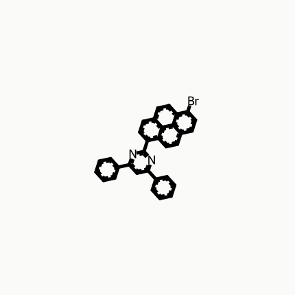 Brc1ccc2ccc3c(-c4nc(-c5ccccc5)cc(-c5ccccc5)n4)ccc4ccc1c2c43